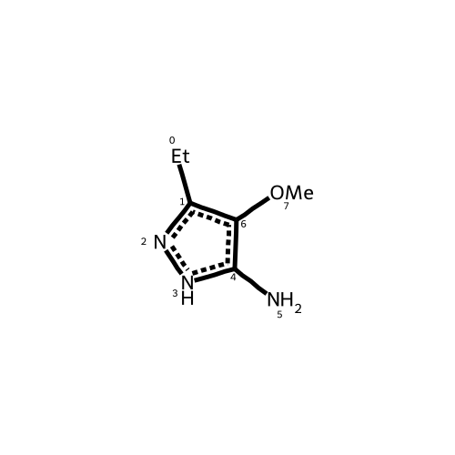 CCc1n[nH]c(N)c1OC